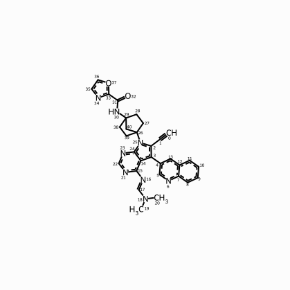 C#Cc1c(-c2cnc3ccccc3c2)c2c(/N=C/N(C)C)ncnc2n1C12CCC(NC(=O)c3ncco3)(CC1)C2